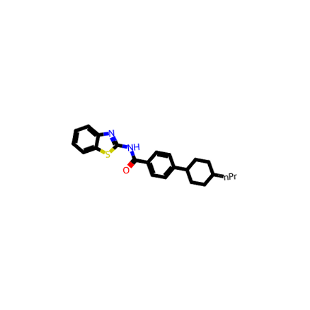 CCCC1CCC(c2ccc(C(=O)Nc3nc4ccccc4s3)cc2)CC1